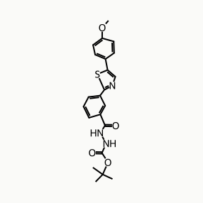 COc1ccc(-c2cnc(-c3cccc(C(=O)NNC(=O)OC(C)(C)C)c3)s2)cc1